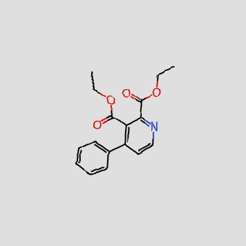 CCOC(=O)c1nccc(-c2ccccc2)c1C(=O)OCC